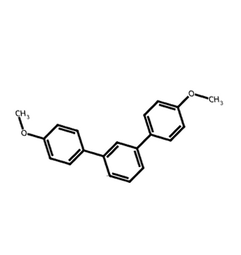 COc1ccc(-c2[c]ccc(-c3ccc(OC)cc3)c2)cc1